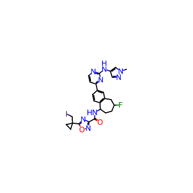 Cn1cc(Nc2nccc(-c3ccc4c(c3)CC(F)CCC4NC(=O)c3noc(C4(CI)CC4)n3)n2)cn1